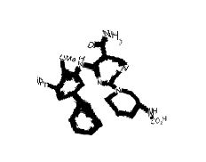 COc1c(Nc2nc(N3CCCC(NC(=O)O)C3)ncc2C(N)=O)cc(-c2ccccc2)cc1C(C)C